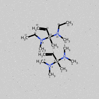 C=C[Si](C)(N(C)C)N(C)C.C=C[Si](C)(N(C)CC)N(C)CC